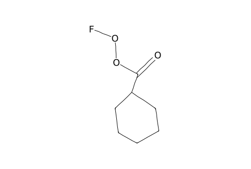 O=C(OOF)C1CCCCC1